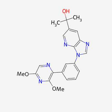 COc1cnc(-c2cccc(-n3cnc4cc(C(C)(C)O)cnc43)c2)c(OC)n1